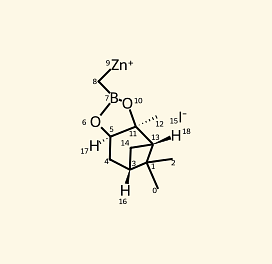 CC1(C)[C@@H]2C[C@H]3OB([CH2][Zn+])O[C@@]3(C)[C@H]1C2.[I-]